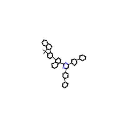 CC1(C)c2ccc(-c3ccc(-c4nc(-c5ccc(-c6ccccc6)cc5)cc(-c5ccc(-c6ccccc6)cc5)n4)c4ccccc34)cc2-c2ccc3ccccc3c21